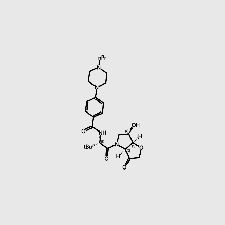 CCCN1CCN(c2ccc(C(=O)N[C@H](C(=O)N3C[C@@H](O)[C@H]4OCC(=O)[C@H]43)C(C)(C)C)cc2)CC1